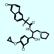 O=C(NC(CN1CCCC1)C(O)c1ccc(OC2CC2)c(Cl)c1)C(F)(F)c1ccc2cc(Cl)ccc2c1